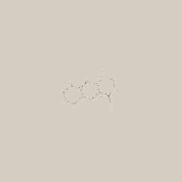 O=c1ncoc2cc3ncccc3cc12